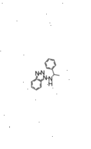 CC(Nn1nnc2ccccc21)c1ccccc1